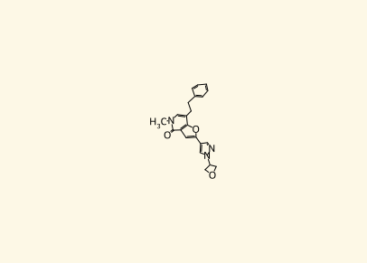 Cn1cc(CCc2ccccc2)c2oc(-c3cnn(C4COC4)c3)cc2c1=O